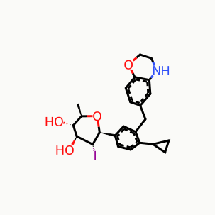 C[C@H]1O[C@@H](c2ccc(C3CC3)c(Cc3ccc4c(c3)NCCO4)c2)[C@H](I)[C@@H](O)[C@@H]1O